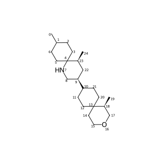 CC1CCC2(CC1)NC[C@H](C1CCC3(CCOC[C@@H]3C)CC1)C[C@@H]2C